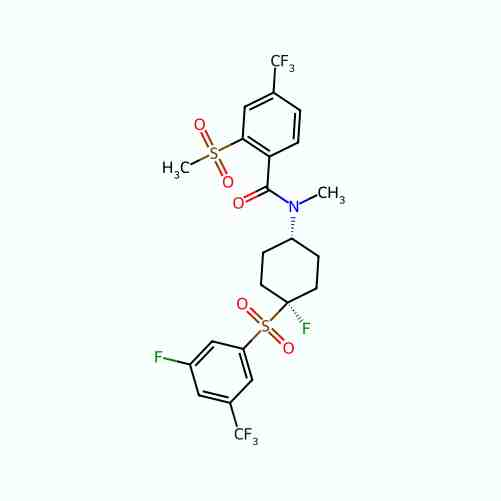 CN(C(=O)c1ccc(C(F)(F)F)cc1S(C)(=O)=O)[C@H]1CC[C@](F)(S(=O)(=O)c2cc(F)cc(C(F)(F)F)c2)CC1